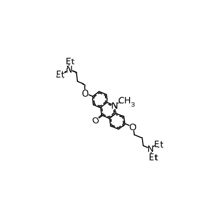 CCN(CC)CCCOc1ccc2c(c1)c(=O)c1ccc(OCCCN(CC)CC)cc1n2C